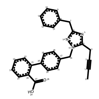 CC#CCc1nc(Cc2ccccc2)nn1Cc1ccc(-c2ccccc2C(=O)O)cc1